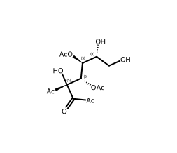 CC(=O)O[C@@H]([C@H](O)CO)[C@H](OC(C)=O)[C@](O)(C(C)=O)C(=O)C(C)=O